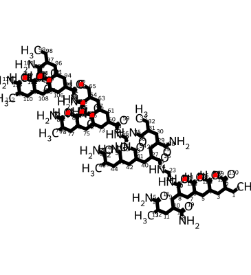 CCC(CC(CC(CC(CC(CC(C)C(N)=O)C(N)=O)C(=O)NCNC(=O)C(CC(CC(CC)C(N)=O)C(N)=O)CC(CC(CC(C)C(N)=O)C(N)=O)C(=O)NCNC(=O)C(CC(CC(CC)C(N)=O)C(N)=O)CC(CC(CC(C)C(N)=O)C(N)=O)C(=O)NCNC(=O)C(CC(CC(CC)C(N)=O)C(N)=O)CC(CC(CC(C)C(N)=O)C(N)=O)C(N)=O)C(N)=O)C(N)=O)C(N)=O